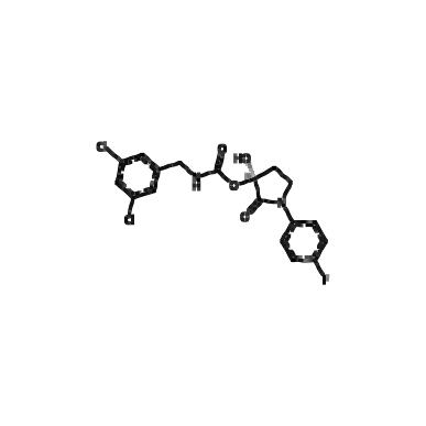 O=C(NCc1cc(Cl)cc(Cl)c1)O[C@@]1(O)CCN(c2ccc(F)cc2)C1=O